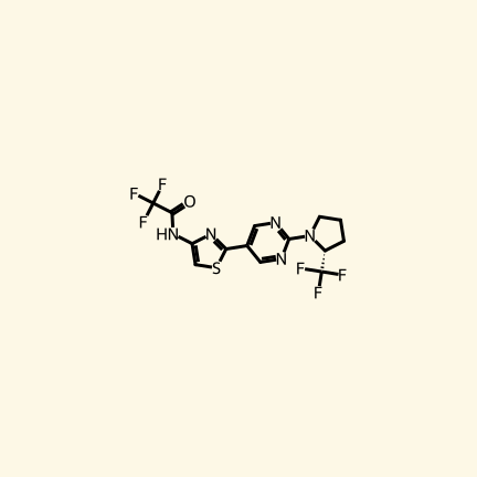 O=C(Nc1csc(-c2cnc(N3CCC[C@@H]3C(F)(F)F)nc2)n1)C(F)(F)F